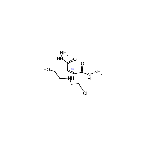 NNC(=O)/C=C\C(=O)NN.OCCNCCO